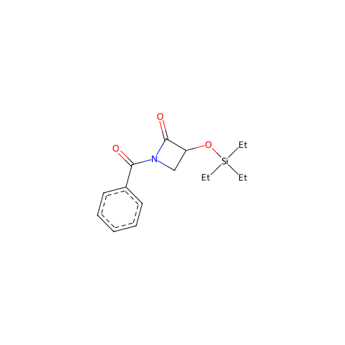 CC[Si](CC)(CC)OC1CN(C(=O)c2ccccc2)C1=O